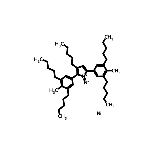 CCCCCC1=C(c2cc(CCCCC)c(C)c(CCCCC)c2)[N+](=[N-])C(c2cc(CCCCC)c(C)c(CCCCC)c2)=C1.[Ni]